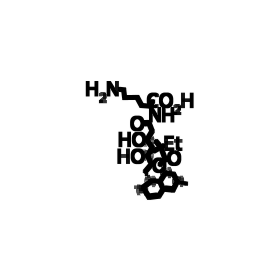 CCC(C)(C)C(=O)O[C@H]1C[C@@H](C)C=C2C=C[C@H](C)[C@H](CC[C@@H](O)C[C@@H](O)CC(=O)NC(CCCCN)C(=O)O)C21